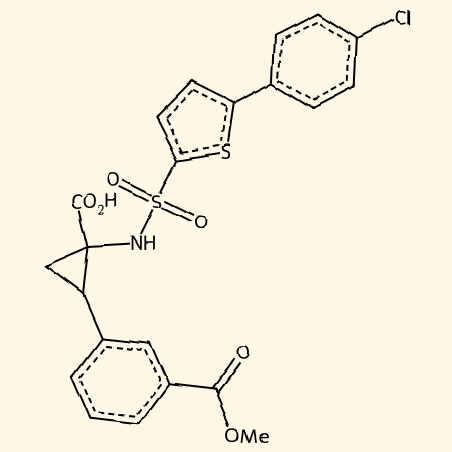 COC(=O)c1cccc(C2CC2(NS(=O)(=O)c2ccc(-c3ccc(Cl)cc3)s2)C(=O)O)c1